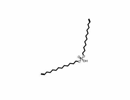 C=CCCCCCCCCCCCOP(=O)(O)OCCCCCCCCCCCC=C